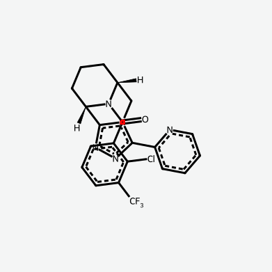 O=C(c1cccc(C(F)(F)F)c1Cl)N1[C@@H]2CCC[C@H]1c1nnc(-c3ccccn3)n1C2